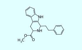 COC(=O)C1Cc2c([nH]c3ccccc23)C(CCc2ccccc2)N1